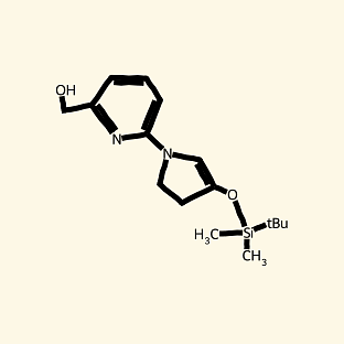 CC(C)(C)[Si](C)(C)OC1=CN(c2cccc(CO)n2)CC1